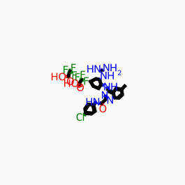 Cc1ccc2nc(C(=O)Nc3ccc(Cl)cc3)nc(NC3CCCCC3NC(=N)N)c2c1.O=C(O)C(F)(F)F.O=C(O)C(F)(F)F